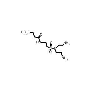 NCCN(CCN)S(=O)(=O)CCNC(=O)CCC(=O)O